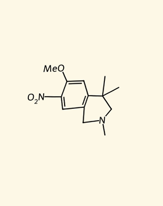 COc1cc2c(cc1[N+](=O)[O-])CN(C)CC2(C)C